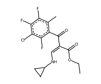 CCOC(=O)C(=CNC1CC1)C(=O)c1c(C)c(F)c(F)c(Cl)c1F